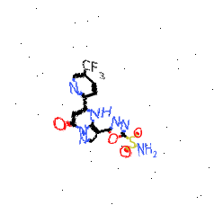 NS(=O)(=O)c1nnc(-c2cnn3c(=O)cc(-c4ccc(C(F)(F)F)cn4)[nH]c23)o1